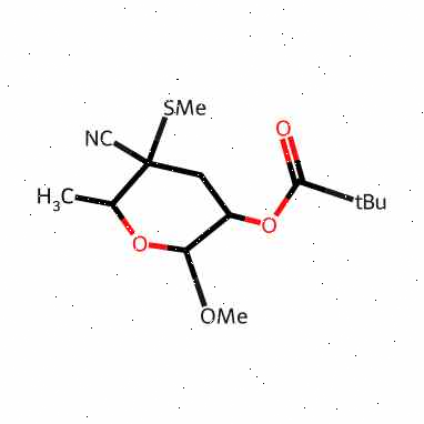 COC1OC(C)C(C#N)(SC)CC1OC(=O)C(C)(C)C